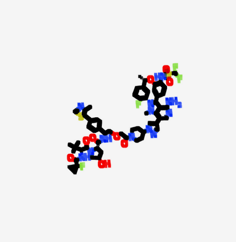 Cc1ncsc1-c1ccc(C(COCC(=O)N2CCC(n3cc(-c4cnc(N)c5c(-c6ccc(NS(=O)(=O)C(F)F)c(O[C@@H](C)c7ccc(F)cc7)c6)nn(C)c45)cn3)CC2)NC(=O)[C@@H]2C[C@@H](O)CN2C(=O)[C@@H](NC(=O)C2(F)CC2)C(C)(C)C)cc1